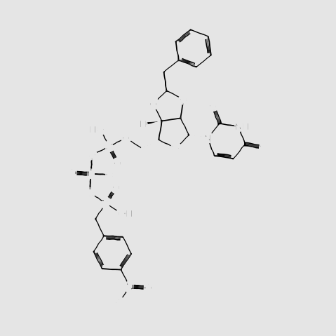 O=c1ccn([C@@H]2O[C@H](COP(=O)(O)OP(=O)(O)OP(=O)(O)Cc3ccc([N+](=O)[O-])cc3)[C@@H]3OC(Cc4ccccc4)OC32)c(=O)[nH]1